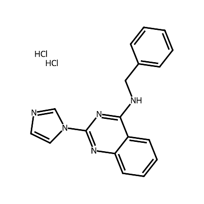 Cl.Cl.c1ccc(CNc2nc(-n3ccnc3)nc3ccccc23)cc1